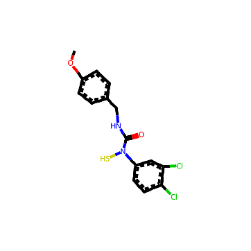 COc1ccc(CNC(=O)N(S)c2ccc(Cl)c(Cl)c2)cc1